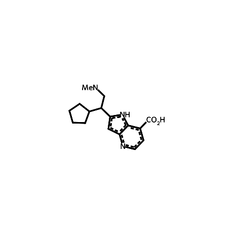 CNCC(c1cc2nccc(C(=O)O)c2[nH]1)C1CCCC1